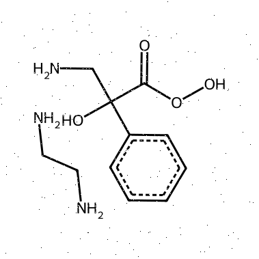 NCC(O)(C(=O)OO)c1ccccc1.NCCN